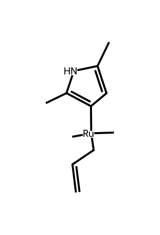 C=C[CH2][Ru]([CH3])([CH3])[c]1cc(C)[nH]c1C